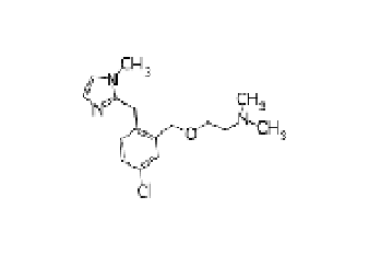 CN(C)CCOCc1cc(Cl)ccc1Cc1nccn1C